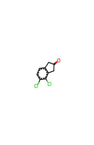 O=C1Cc2ccc(Cl)c(Cl)c2C1